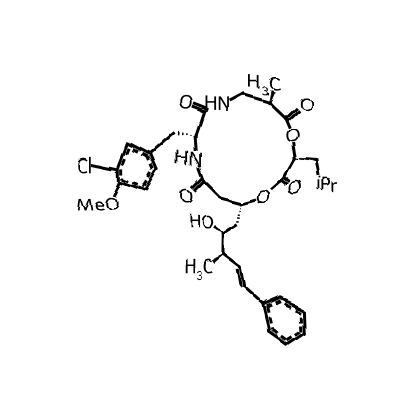 COc1ccc(C[C@H]2NC(=O)C[C@@H](C[C@H](O)[C@H](C)/C=C/c3ccccc3)OC(=O)[C@H](CC(C)C)OC(=O)[C@H](C)CNC2=O)cc1Cl